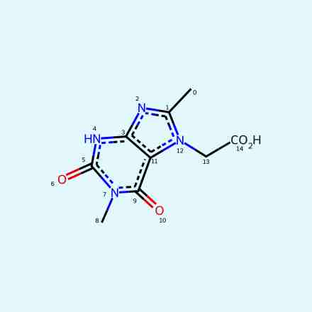 Cc1nc2[nH]c(=O)n(C)c(=O)c2n1CC(=O)O